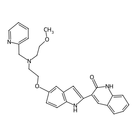 COCCN(CCOc1ccc2[nH]c(-c3cc4ccccc4[nH]c3=O)cc2c1)Cc1ccccn1